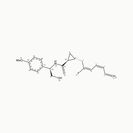 C=C/C=C\C=C(\F)C[C@H]1C[C@@H]1C(=O)N[C@@H](CO)c1ccc(OC)cc1